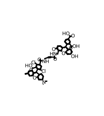 C=c1ccc2c(c1)Oc1cc(N(C)C)ccc1C=2c1c(Cl)cc(C(=O)NCC#CC(=O)NCc2c3oc4cc(O)ccc4c(-c4ccc(C(=O)O)cc4C(=O)O)c-3ccc2=O)c(Cl)c1C(=O)O